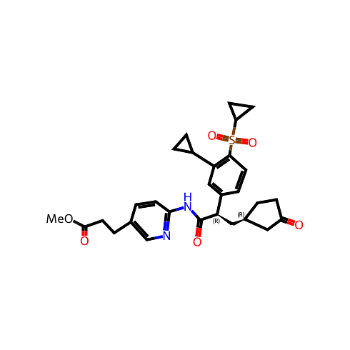 COC(=O)CCc1ccc(NC(=O)[C@H](C[C@H]2CCC(=O)C2)c2ccc(S(=O)(=O)C3CC3)c(C3CC3)c2)nc1